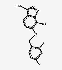 CCCc1c(OCc2ccc(C)nc2C)ccc2c(OC(C)=O)coc12